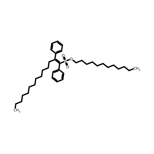 CCCCCCCCCCCCOS(=O)(=O)C(=C(CCCCCCCCCCCC)c1ccccc1)c1ccccc1